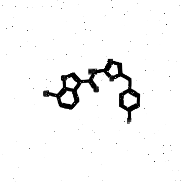 O=C(Nc1ncc(Cc2ccc(F)cc2)s1)c1coc2c(Cl)cccc12